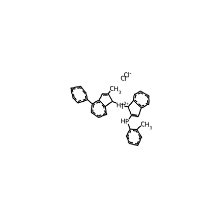 CC1=Cc2c(-c3ccccc3)cccc2[CH]1[Hf+2][CH]1C(Pc2ccccc2C)=Cc2ccccc21.[Cl-].[Cl-]